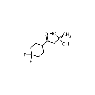 C=P(O)(O)CC(=O)C1CCC(F)(F)CC1